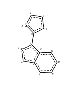 c1csc(-c2scc3ccccc23)c1